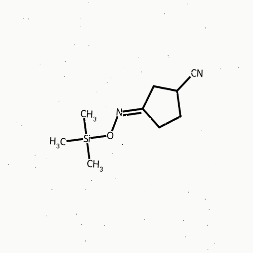 C[Si](C)(C)O/N=C1\CCC(C#N)C1